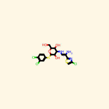 N/C(=C\NC1C(O)C(CO)OC(Sc2ccc(Cl)c(Cl)c2)C1O)c1nc(Cl)cs1